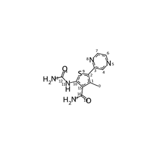 Cc1c(-c2cnccn2)sc(NC(N)=O)c1C(N)=O